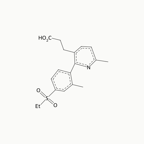 CCS(=O)(=O)c1ccc(-c2nc(C)ccc2CCC(=O)O)c(C)c1